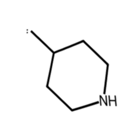 [CH]C1CCNCC1